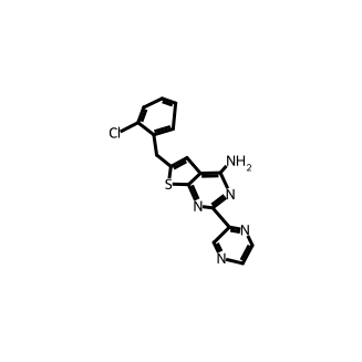 Nc1nc(-c2cnccn2)nc2sc(Cc3ccccc3Cl)cc12